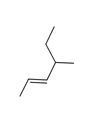 CC=CC(C)CC